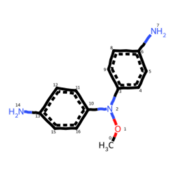 CON(c1ccc(N)cc1)c1ccc(N)cc1